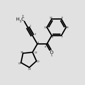 CC#C[C](C(=O)c1ccccc1)C1CCCC1